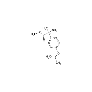 COC(=O)[C@@](C)(N)c1ccc(OC(C)C)cc1